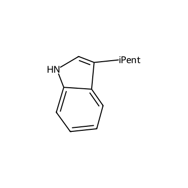 CCCC(C)c1c[nH]c2ccccc12